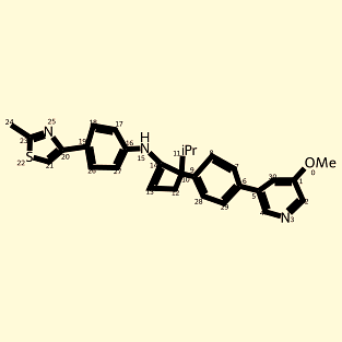 COc1cncc(-c2ccc(C3(C(C)C)CC=C3Nc3ccc(-c4csc(C)n4)cc3)cc2)c1